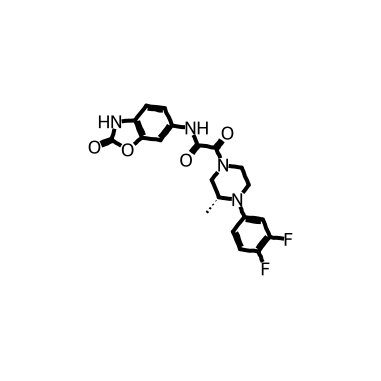 C[C@@H]1CN(C(=O)C(=O)Nc2ccc3[nH]c(=O)oc3c2)CCN1c1ccc(F)c(F)c1